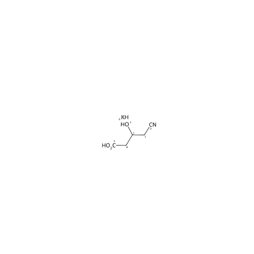 N#CCC(O)CC(=O)O.[KH]